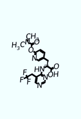 CN(C)C(=O)Oc1ccc(C[C@H](Nc2ncncc2CC(F)(F)F)C(=O)O)cn1